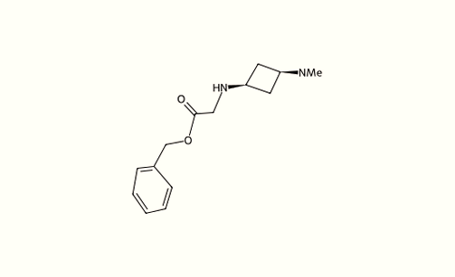 CN[C@H]1C[C@@H](NCC(=O)OCc2ccccc2)C1